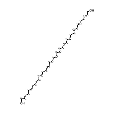 OCCOCCOCCOCCOCCOCCOCOCOCCOCCOCCOCCOCCOCCO